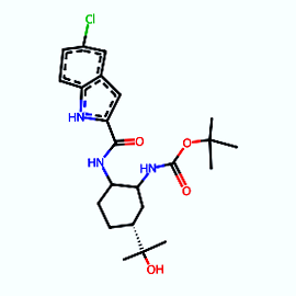 CC(C)(C)OC(=O)NC1C[C@H](C(C)(C)O)CCC1NC(=O)c1cc2cc(Cl)ccc2[nH]1